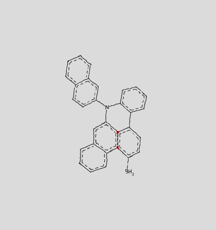 Bc1ccc(-c2ccccc2N(c2ccc3ccccc3c2)c2ccc3ccccc3c2)cc1